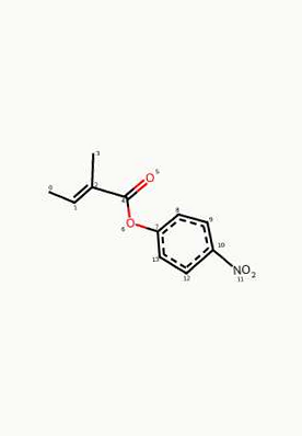 CC=C(C)C(=O)Oc1ccc([N+](=O)[O-])cc1